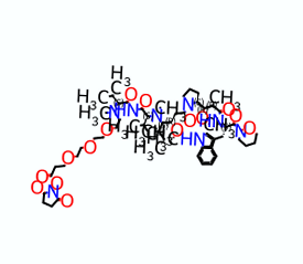 CC[C@H](C)[C@@H]([C@@H](CC(=O)N1CCC[C@H]1[C@H](OC)[C@@H](C)C(=O)N[C@@H](Cc1c[nH]c2ccccc12)C(=O)N1CCCCO1)OC)N(C)[C@H](C(=O)NC(=O)[C@H](C(C)C)N(C)CCOCCOCCOCCC(=O)ON1C(=O)CCC1=O)C(C)C